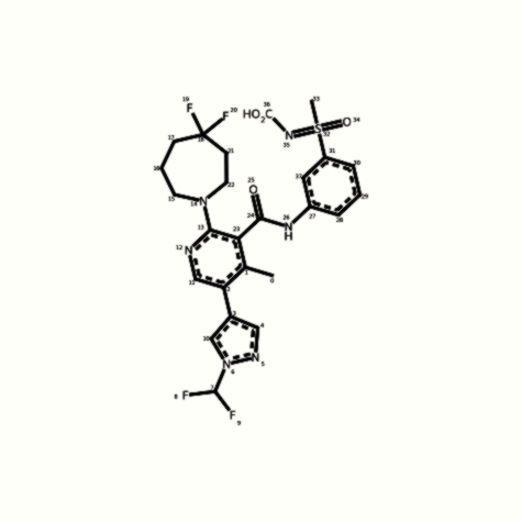 Cc1c(-c2cnn(C(F)F)c2)cnc(N2CCCC(F)(F)CC2)c1C(=O)Nc1cccc(S(C)(=O)=NC(=O)O)c1